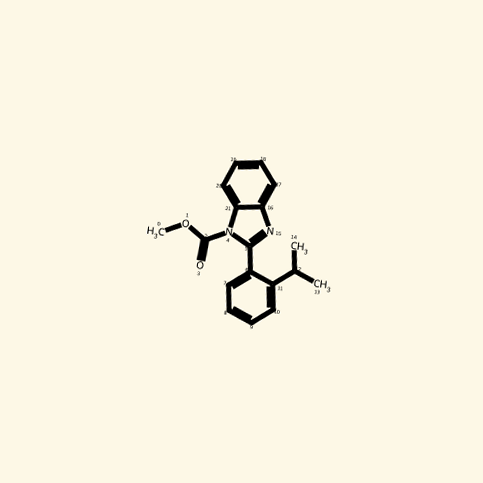 COC(=O)n1c(-c2ccccc2C(C)C)nc2ccccc21